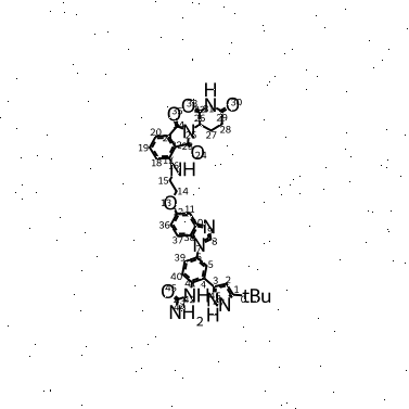 CC(C)(C)c1cc(-c2cc(-n3cnc4cc(OCCNc5cccc6c5C(=O)N(C5CCC(=O)NC5=O)C6=O)ccc43)ccc2NC(N)=O)[nH]n1